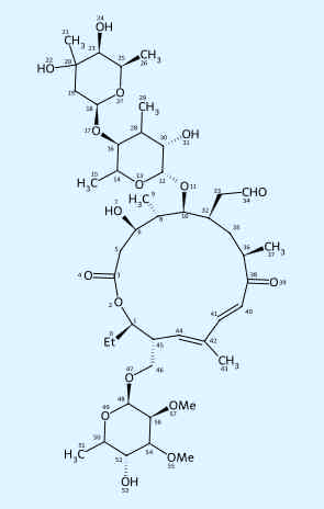 CC[C@H]1OC(=O)C[C@@H](O)[C@H](C)[C@@H](O[C@@H]2OC(C)[C@@H](O[C@H]3CC(C)(O)[C@@H](O)[C@@H](C)O3)C(C)[C@@H]2O)[C@@H](CC=O)C[C@@H](C)C(=O)/C=C/C(C)=C/[C@@H]1CO[C@@H]1OC(C)[C@@H](O)C(OC)[C@@H]1OC